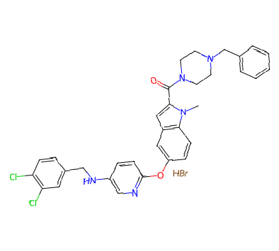 Br.Cn1c(C(=O)N2CCN(Cc3ccccc3)CC2)cc2cc(Oc3ccc(NCc4ccc(Cl)c(Cl)c4)cn3)ccc21